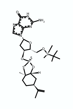 C=C(C)[C@H]1CC[C@@]2(C)SP(=S)(O[C@H]3C[C@H](n4cnc5c(=O)[nH]c(N)nc54)O[C@@H]3CO[Si](C)(C)C(C)(C)C)O[C@@H]2C1